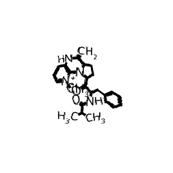 C=C1Nc2ccc[n+](C)c2N2C1CCC2C(=O)C(Cc1ccccc1)NC(=O)C(C)C